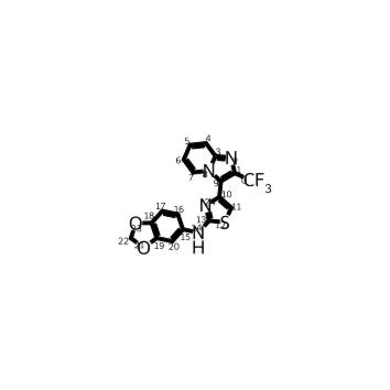 FC(F)(F)c1nc2ccccn2c1-c1csc(Nc2ccc3c(c2)OCO3)n1